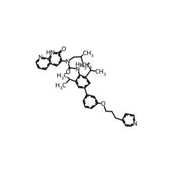 CC(C)CN(C(=O)Nc1c(C(C)C)cc(-c2cccc(OCCCc3ccncc3)c2)cc1C(C)C)c1cc2cccnc2[nH]c1=O